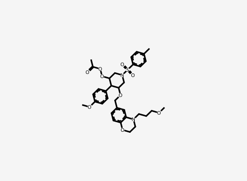 COCCCN1CCOc2ccc(COC3CN(S(=O)(=O)c4ccc(C)cc4)CC(OOC(C)=O)C3c3ccc(OC)cc3)cc21